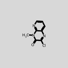 Cn1c(=O)c(Cl)nc2cccnc21